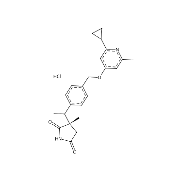 Cc1cc(OCc2ccc(C(C)[C@]3(C)CC(=O)NC3=O)cc2)cc(C2CC2)n1.Cl